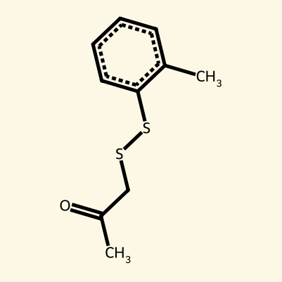 CC(=O)CSSc1ccccc1C